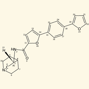 O=C(N[C@H]1CN2CCC1CC2)c1ccc(-c2ccc(-c3ccco3)cc2)o1